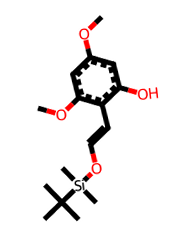 COc1cc(O)c(C=CO[Si](C)(C)C(C)(C)C)c(OC)c1